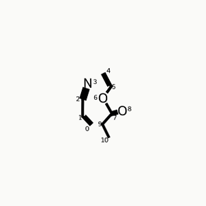 C=CC#N.C=COC(=O)CC